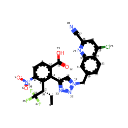 CC[C@@H](c1c([N+](=O)[O-])ccc(C(=O)O)c1-c1cn(Cc2ccc3c(Cl)cc(C#N)nc3c2)nn1)C(F)(F)F